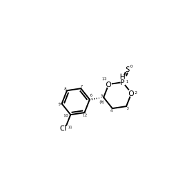 S=[PH]1OCC[C@H](c2cccc(Cl)c2)O1